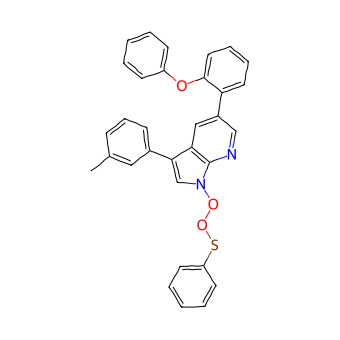 Cc1cccc(-c2cn(OOSc3ccccc3)c3ncc(-c4ccccc4Oc4ccccc4)cc23)c1